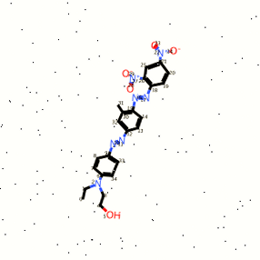 CCN(CCO)c1ccc(/N=N/c2ccc(/N=N/c3ccc([N+](=O)[O-])cc3[N+](=O)[O-])c(C)c2)cc1